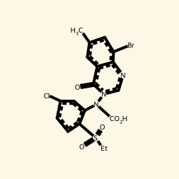 CCS(=O)(=O)c1ccc(Cl)cc1N(C(=O)O)n1cnc2c(Br)cc(C)cc2c1=O